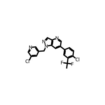 CC(F)(F)c1cc(-c2cnc3cnn(Cc4cncc(Cl)c4)c3c2)ccc1Cl